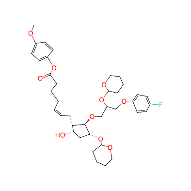 COc1ccc(OC(=O)CCC/C=C\C[C@@H]2[C@@H](OCC(COc3ccc(F)cc3)OC3CCCCO3)[C@H](OC3CCCCO3)C[C@@H]2O)cc1